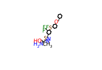 C[C@](N)(CO)c1nnc(-c2ccc(Sc3cccc(OCc4ccccc4)c3)c(C(F)(F)F)c2)s1